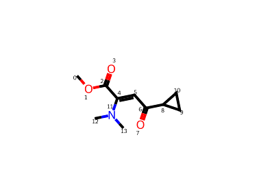 COC(=O)C(=CC(=O)C1CC1)N(C)C